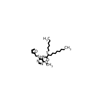 CCCCCCCCC(SCCCCCC)C(=O)Nc1c(OC)ncnc1SCc1ccco1